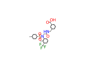 Cc1ccc(S(=O)(=O)N(CC(=O)NCc2cccc(C(=O)O)c2)c2cccc(C(F)(F)F)c2C)cc1